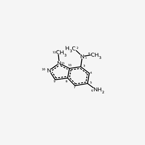 CN(C)c1cc(N)cc2cnn(C)c12